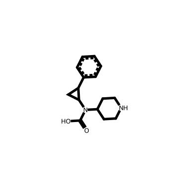 O=C(O)N(C1CCNCC1)C1CC1c1ccccc1